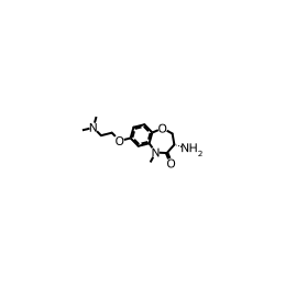 CN(C)CCOc1ccc2c(c1)N(C)C(=O)[C@@H](N)CO2